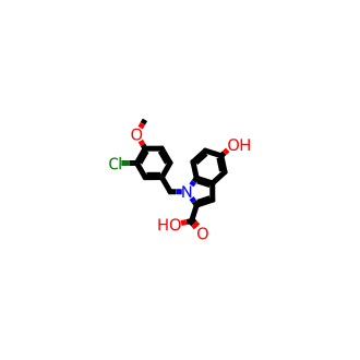 COc1ccc(Cn2c(C(=O)O)cc3cc(O)ccc32)cc1Cl